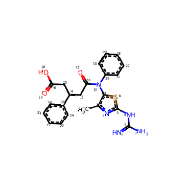 Cc1nc(NC(=N)N)sc1N(C(=O)CC(CC(=O)O)c1ccccc1)c1ccccc1